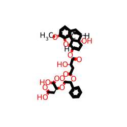 COc1ccc2c3c1O[C@@H]1C(OC(=O)[C@@H](O)CC(=O)O[C@H](C(=O)O[C@@H](CC(=O)O)C(=O)O)c4ccccc4)=CC[C@]4(O)[C@@H](CCC[C@@]314)C2